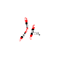 O=BOB=O.[O]=[Ti]=[O].[SiH4]